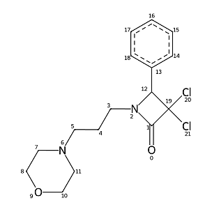 O=C1N(CCCN2CCOCC2)C(c2ccccc2)C1(Cl)Cl